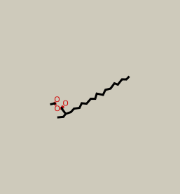 CCCCCCCCCCCCCCCCC(CC)C(=O)OC(C)=O